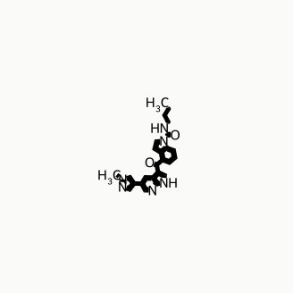 CCCCNC(=O)n1ccc2c(C(=O)c3c[nH]c4ncc(-c5cnn(C)c5)cc34)cccc21